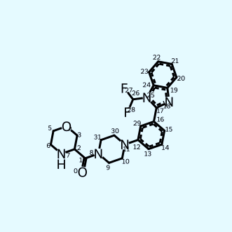 O=C(C1COCCN1)N1CCN(c2cccc(-c3nc4ccccc4n3C(F)F)c2)CC1